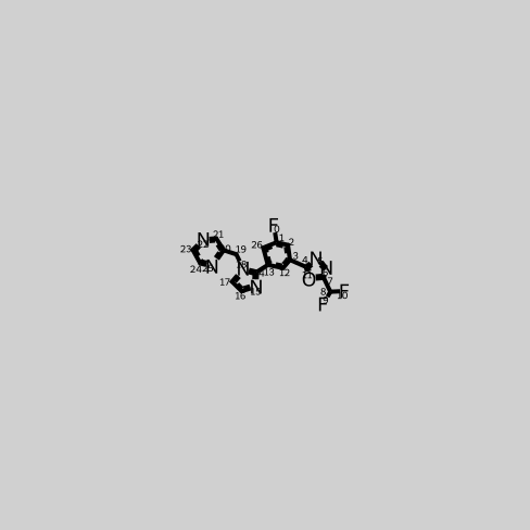 Fc1cc(-c2nnc(C(F)F)o2)cc(-c2nccn2Cc2cnccn2)c1